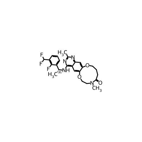 Cc1nc(N[C@H](C)c2cccc(C(F)F)c2F)c2cc3c(cc2n1)OCCCC(=O)N(C)CCO3